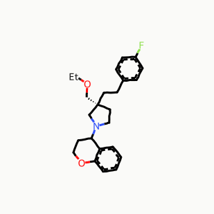 CCOC[C@]1(CCc2ccc(F)cc2)CCN(C2CCOc3ccccc32)C1